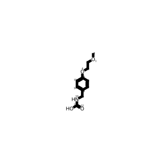 COCCOc1ccc(CNC(=O)O)cc1